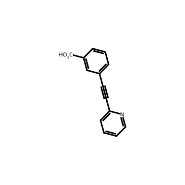 O=C(O)c1cccc(C#Cc2ccccn2)c1